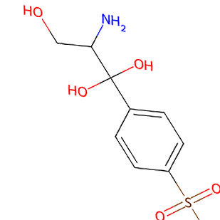 CS(=O)(=O)c1ccc(C(O)(O)C(N)CO)cc1